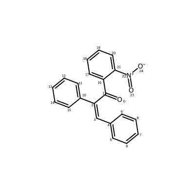 O=C(C(=Cc1ccccc1)c1ccccc1)c1ccccc1[N+](=O)[O-]